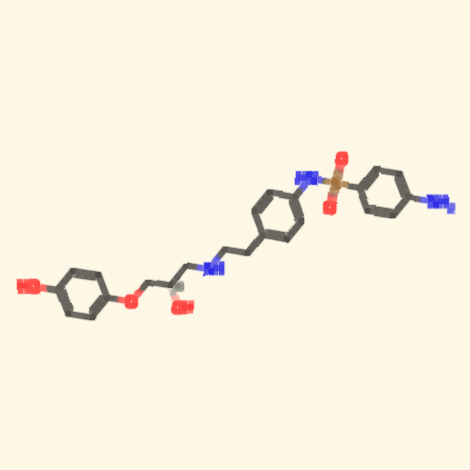 Nc1ccc(S(=O)(=O)Nc2ccc(CCNC[C@H](O)COc3ccc(O)cc3)cc2)cc1